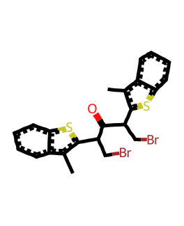 Cc1c(C(CBr)C(=O)C(CBr)c2sc3ccccc3c2C)sc2ccccc12